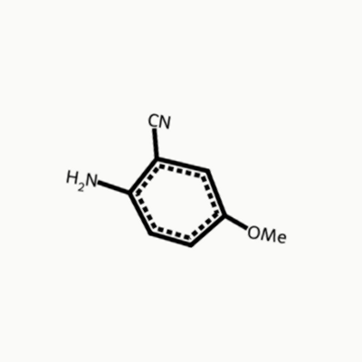 COc1ccc(N)c(C#N)c1